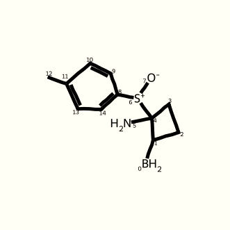 BC1CCC1(N)[S+]([O-])c1ccc(C)cc1